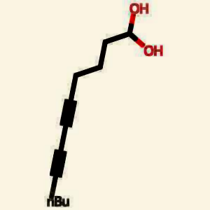 CCCCC#CC#CCCCC(O)O